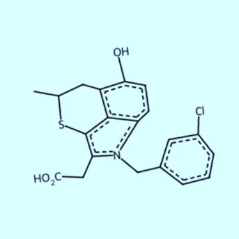 CC1Cc2c(O)ccc3c2c(c(CC(=O)O)n3Cc2cccc(Cl)c2)S1